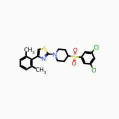 Cc1cccc(C)c1-c1csc(N2CCC(S(=O)(=O)c3cc(Cl)cc(Cl)c3)CC2)n1